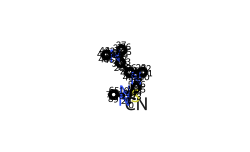 N#Cc1nc(-c2ccccc2)nc2c1sc1ccc(-n3c4ccccc4c4cc(-c5ccc6c(c5)c5ccccc5n6-c5ccccc5)ccc43)cc12